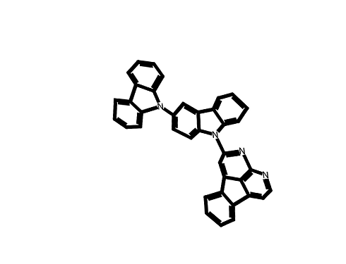 c1ccc2c(c1)-c1ccnc3nc(-n4c5ccccc5c5cc(-n6c7ccccc7c7ccccc76)ccc54)cc-2c13